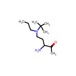 CCCN(CCC(N)C(C)=O)C(C)(C)C